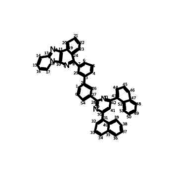 c1cc(-c2cccc(-c3nc4c(nc5ccccn54)c4ccccc34)c2)cc(-c2nc(-c3cccc4ccccc34)cc(-c3cccc4ccccc34)n2)c1